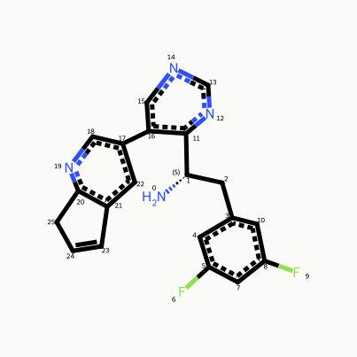 N[C@@H](Cc1cc(F)cc(F)c1)c1ncncc1-c1cnc2c(c1)C=CC2